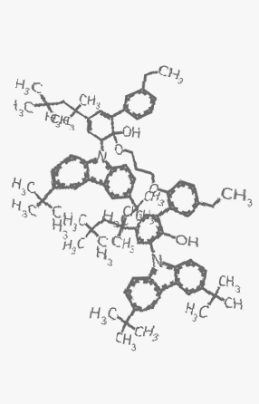 CCc1cccc(C2=CC(C(C)(C)CC(C)(C)C)=CC(n3c4ccc(C(C)(C)C)cc4c4cc(C(C)(C)C)ccc43)C2(O)OCCCOc2ccc(CC)cc2-c2cc(C(C)(C)CC(C)(C)C)cc(-n3c4ccc(C(C)(C)C)cc4c4cc(C(C)(C)C)ccc43)c2O)c1